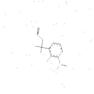 C=CCC(N)(c1cccc(N(C)CCC)c1C)C(C)CCC